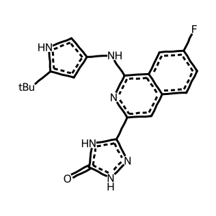 CC(C)(C)c1cc(Nc2nc(-c3n[nH]c(=O)[nH]3)cc3ccc(F)cc23)c[nH]1